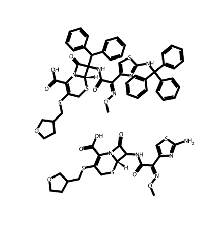 CO/N=C(\C(=O)NC1(C(c2ccccc2)c2ccccc2)C(=O)N2C(C(=O)O)=C(SCC3CCOC3)CS[C@H]21)c1csc(NC(c2ccccc2)(c2ccccc2)c2ccccc2)n1.CO/N=C(\C(=O)NC1C(=O)N2C(C(=O)O)=C(SCC3CCOC3)CS[C@@H]12)c1csc(N)n1